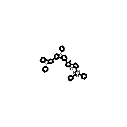 CC1C(c2ccc3c(c2)c2cc(-c4ccc5c(c4)c4ccccc4n5-c4ccccc4)ccc2n3-c2ccccc2)=CC=C2Oc3c(-c4nc(-c5ccccc5)nc(-c5ccccc5)n4)cccc3C21